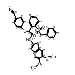 COc1cc2nc(NC(=O)C(Oc3ccc(C#N)cc3)c3ccccc3S(=O)(=O)Cc3ccccc3)sc2cc1OC